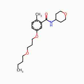 CCCCOCCCOc1ccc(C)c(C(=O)NC2CCOCC2)c1